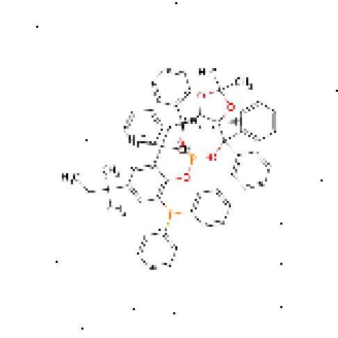 CCC(C)(C)c1cc(P(c2ccccc2)c2ccccc2)c(OP2OC(c3ccccc3)(c3ccccc3)C3OC(C)(C)O[C@H]3C(c3ccccc3)(c3ccccc3)O2)c(C(C)(C)CC)c1